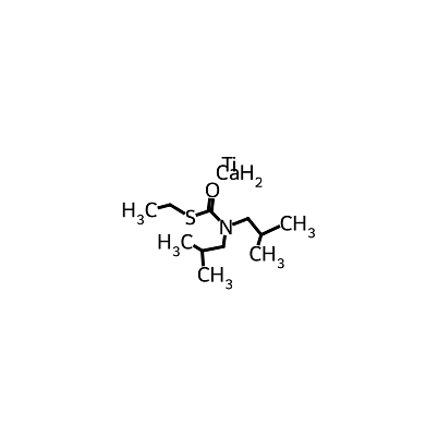 CCSC(=O)N(CC(C)C)CC(C)C.[CaH2].[Ti]